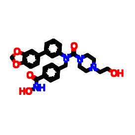 O=C(NO)c1ccc(CN(C(=O)N2CCN(CCO)CC2)c2cccc(-c3ccc4c(c3)OCO4)c2)cc1